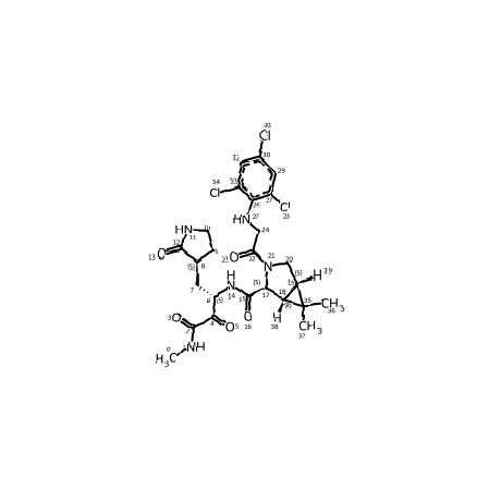 CNC(=O)C(=O)[C@H](C[C@@H]1CCNC1=O)NC(=O)[C@@H]1[C@@H]2[C@H](CN1C(=O)CNc1c(Cl)cc(Cl)cc1Cl)C2(C)C